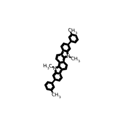 Cc1cccc(-c2ccc3c4ccc5c(ccc6c7ccc(-c8cccc(C)c8)cc7n(C)c65)c4n(C)c3c2)c1